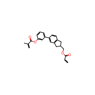 C=CC(=O)OCC1Cc2ccc(-c3cccc(OC(=O)C(=C)C)c3)cc2C1